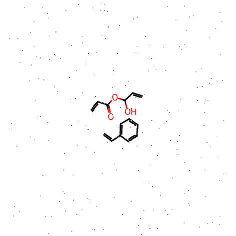 C=CC(=O)OC(O)C=C.C=Cc1ccccc1